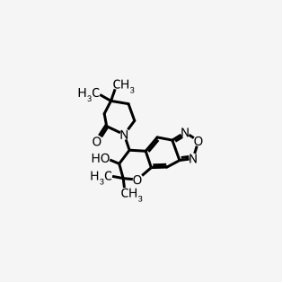 CC1(C)CCN(C2c3cc4nonc4cc3OC(C)(C)C2O)C(=O)C1